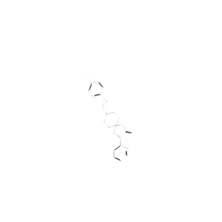 O=C1OC2(CCC(CNc3ccc(C(F)(F)F)cn3)CC2)CN1c1ccccn1